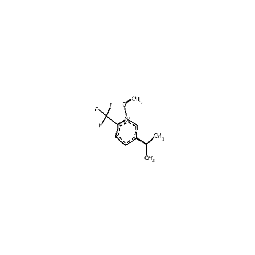 CO[n+]1cc(C(C)C)ccc1C(F)(F)F